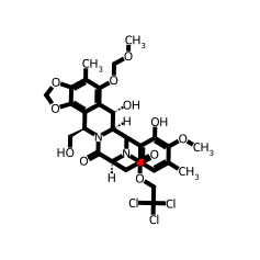 COCOc1c(C)c2c(c3c1[C@H](O)[C@H]1C4c5c(cc(C)c(OC)c5O)C[C@@H](C(=O)N1[C@H]3CO)N4C(=O)OCC(Cl)(Cl)Cl)OCO2